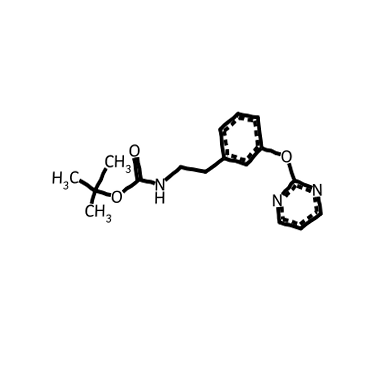 CC(C)(C)OC(=O)NCCc1cccc(Oc2ncccn2)c1